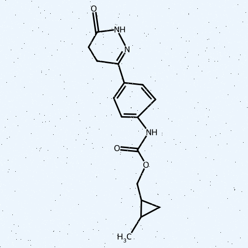 CC1CC1COC(=O)Nc1ccc(C2=NNC(=O)CC2)cc1